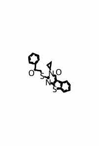 O=C(CSc1nc2sc3ccccc3c2c(=O)n1C1CC1)c1ccccc1